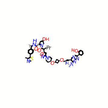 Cc1ncsc1-c1ccc([C@H](C)NC(=O)[C@@H]2C[C@@H](O)CN2C(=O)C(c2cc(N3CCC(O[C@H]4C[C@H](OCC#Cc5cn6cc(-c7ccccc7O)nc6nc5N)C4)CC3)no2)C(C)C)cc1